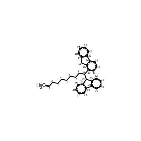 C=CCCCCCCCC(c1cccc2c1Cc1ccccc1-2)C1c2c[c]ccc2-c2ccccc21